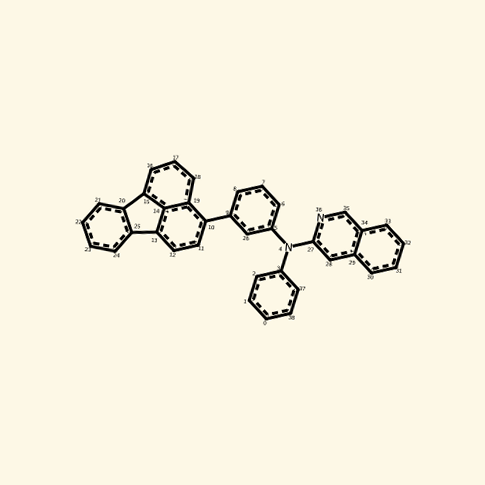 c1ccc(N(c2cccc(-c3ccc4c5c(cccc35)-c3ccccc3-4)c2)c2cc3ccccc3cn2)cc1